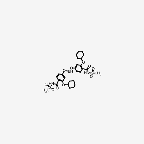 CS(=O)(=O)NC(=O)c1ccc(OBOc2ccc(C(=O)NS(C)(=O)=O)c(OC3CCCCC3)c2)cc1OC1CCCCC1